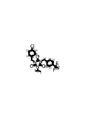 CC(C)n1c(=O)n(Cc2ccc(Cl)cc2)c(=O)n(Cc2ccc(C(F)(F)F)cc2)c1=O